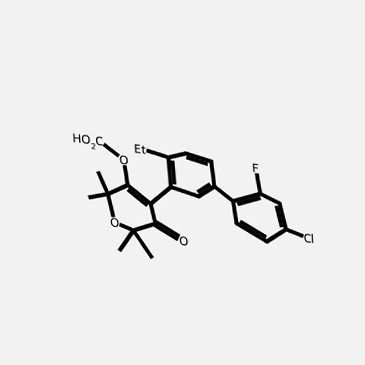 CCc1ccc(-c2ccc(Cl)cc2F)cc1C1=C(OC(=O)O)C(C)(C)OC(C)(C)C1=O